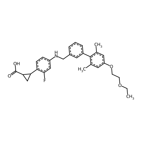 CCOCCOc1cc(C)c(-c2cccc(CNc3ccc(C4CC4C(=O)O)c(F)c3)c2)c(C)c1